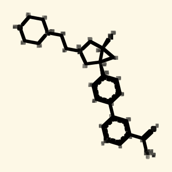 NC(=O)c1cncc(-c2ccc([C@]34C[C@H]3CN(CCN3CCOCC3)C4)cc2)c1